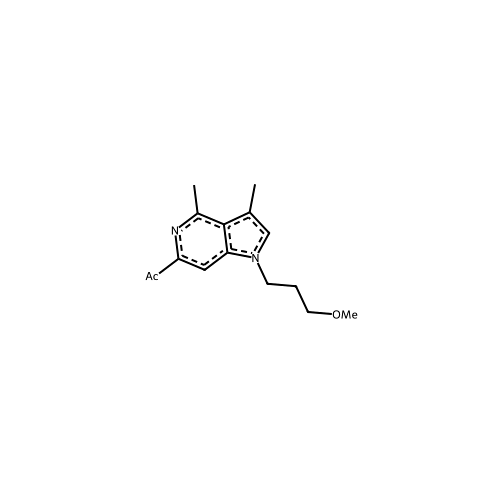 COCCCn1cc(C)c2c(C)nc(C(C)=O)cc21